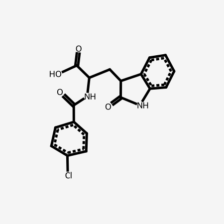 O=C(NC(CC1C(=O)Nc2ccccc21)C(=O)O)c1ccc(Cl)cc1